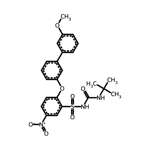 COc1cccc(-c2cccc(Oc3ccc([N+](=O)[O-])cc3S(=O)(=O)NC(=O)NC(C)(C)C)c2)c1